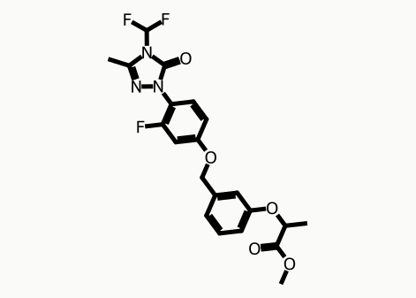 COC(=O)C(C)Oc1cccc(COc2ccc(-n3nc(C)n(C(F)F)c3=O)c(F)c2)c1